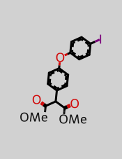 COC(=O)C(C(=O)OC)c1ccc(Oc2ccc(I)cc2)cc1